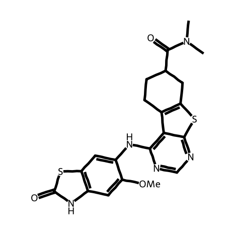 COc1cc2[nH]c(=O)sc2cc1Nc1ncnc2sc3c(c12)CCC(C(=O)N(C)C)C3